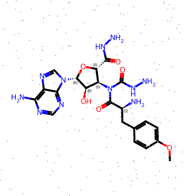 COc1ccc(C[C@H](N)C(=O)N(C(=O)NN)[C@H]2[C@@H](O)[C@H](n3cnc4c(N)ncnc43)O[C@@H]2C(=O)NN)cc1